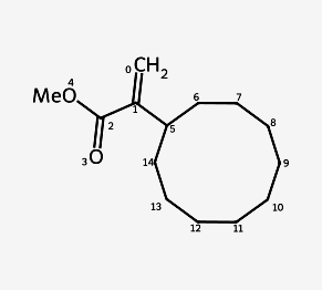 C=C(C(=O)OC)C1CCCCCCCCC1